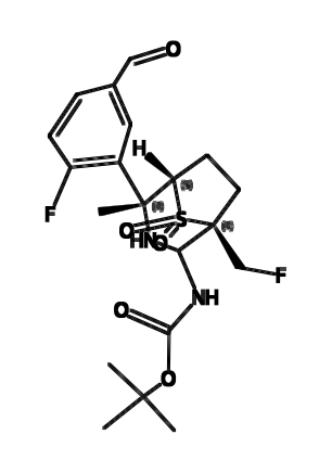 CC(C)(C)OC(=O)NC1N[C@](C)(c2cc(C=O)ccc2F)[C@@H]2CC[C@@]1(CF)S2(=O)=O